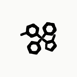 CC1=C([Si](c2ccccc2)(c2ccccc2)c2cccc(C)c2)CC=C1